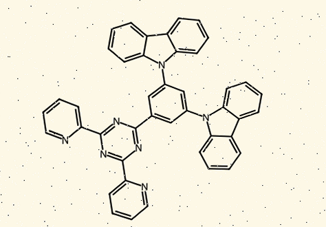 c1ccc(-c2nc(-c3cc(-n4c5ccccc5c5ccccc54)cc(-n4c5ccccc5c5ccccc54)c3)nc(-c3ccccn3)n2)nc1